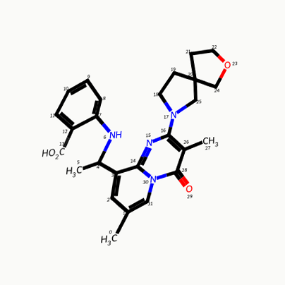 Cc1cc(C(C)Nc2ccccc2C(=O)O)c2nc(N3CCC4(CCOC4)C3)c(C)c(=O)n2c1